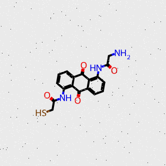 NCC(=O)Nc1cccc2c1C(=O)c1cccc(NC(=O)CS)c1C2=O